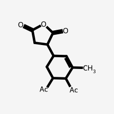 CC(=O)C1CC(C2CC(=O)OC2=O)C=C(C)C1C(C)=O